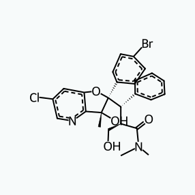 CN(C)C(=O)[C@@H](CO)[C@@H](c1ccccc1)[C@]1(c2ccc(Br)cc2)Oc2cc(Cl)cnc2[C@@]1(C)O